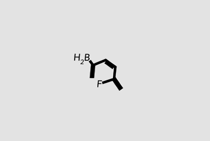 BC(=C)/C=C\C(=C)F